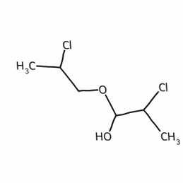 CC(Cl)COC(O)C(C)Cl